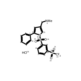 CNCc1cc(-c2ccccc2)n(S(=O)(=O)c2cccc(S(=O)(=O)C(F)(F)F)c2)c1.Cl